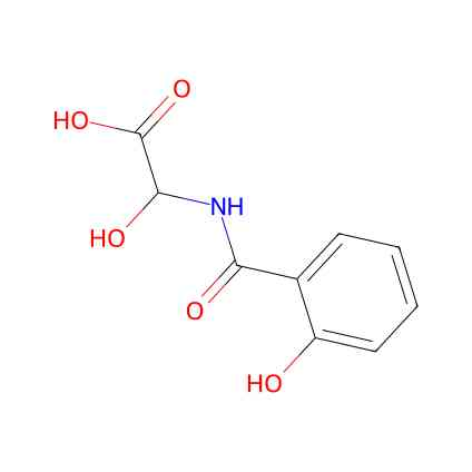 O=C(NC(O)C(=O)O)c1ccccc1O